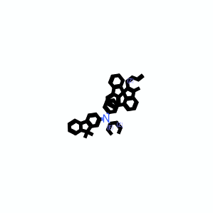 C=C/C=C\C1=C(C)c2cccc(-c3cccc(N(C(/C=C\C)=C/C)c4ccc5c(c4)C(C)(C)C4C=CC=CC54)c3)c2C12C1=C(C=CCC1)c1ccccc12